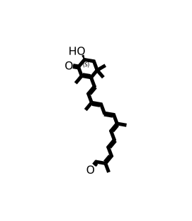 CC(C=O)=CC=CC=C(C)C=CC=C(C)C=CC1=C(C)C(=O)[C@@H](O)CC1(C)C